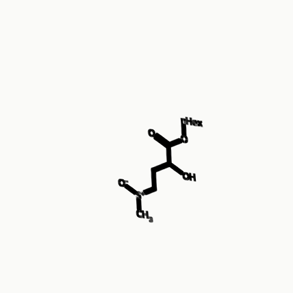 CCCCCCOC(=O)C(O)CC[S+](C)[O-]